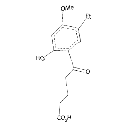 CCc1cc(C(=O)CCCC(=O)O)c(O)cc1OC